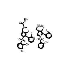 CN(Cc1cn(S(=O)(=O)c2ccccc2C#N)c(-c2cccnc2F)c1F)C(=O)OC(C)(C)C.CNCc1cn(S(=O)(=O)c2ccccc2C#N)c(-c2cccnc2F)c1F.Cl